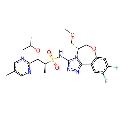 COC[C@@H]1COc2cc(F)c(F)cc2-c2nnc(NS(=O)(=O)[C@@H](C)[C@@H](OC(C)C)c3ncc(C)cn3)n21